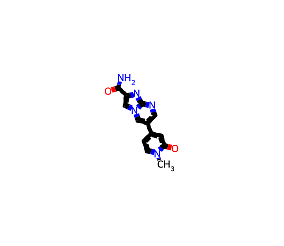 Cn1ccc(-c2cnc3nc(C(N)=O)cn3c2)cc1=O